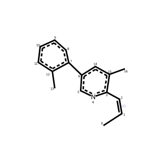 C/C=C\c1ncc(-c2ccccc2C)cc1C